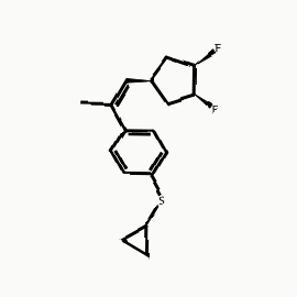 C/C(=C/[C@H]1C[C@@H](F)[C@@H](F)C1)c1ccc(SC2CC2)cc1